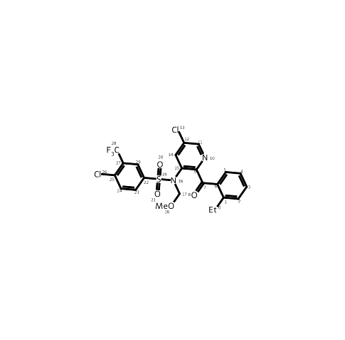 CCc1ccccc1C(=O)c1ncc(Cl)cc1N(COC)S(=O)(=O)c1ccc(Cl)c(C(F)(F)F)c1